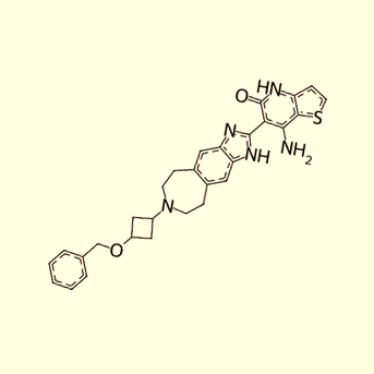 Nc1c(-c2nc3cc4c(cc3[nH]2)CCN(C2CC(OCc3ccccc3)C2)CC4)c(=O)[nH]c2ccsc12